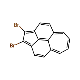 Brc1c(Br)c2ccc3ccccc4ccc1c2c43